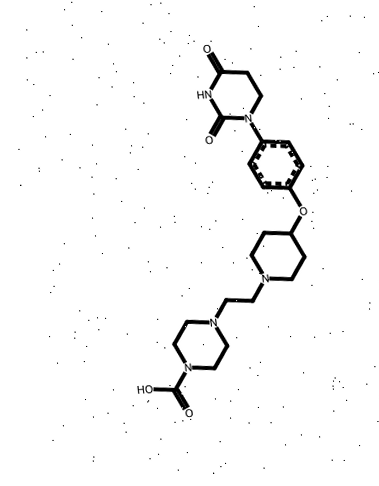 O=C1CCN(c2ccc(OC3CCN(CCN4CCN(C(=O)O)CC4)CC3)cc2)C(=O)N1